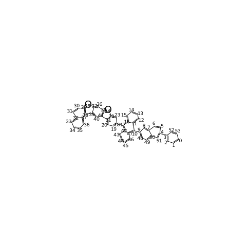 c1ccc(-c2ccc3cc(-c4c5ccccc5c(-c5ccc6c(c5)oc5cc7oc8ccc9ccccc9c8c7cc56)c5ccccc45)ccc3c2)cc1